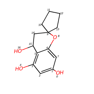 Oc1cc(O)c2c(c1)OC1(CCCC1)CC2O